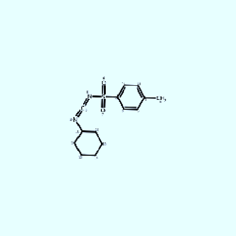 Cc1ccc(S(=O)(=O)N=C=NC2CCCCC2)cc1